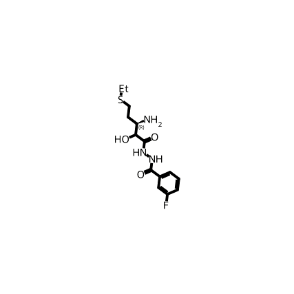 CCSCC[C@@H](N)C(O)C(=O)NNC(=O)c1cccc(F)c1